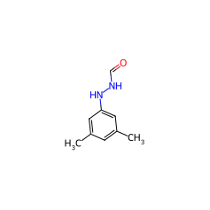 Cc1cc(C)cc(NNC=O)c1